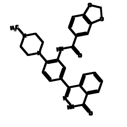 CN1CCN(c2ccc(-c3n[nH]c(=O)c4ccccc34)cc2NC(=O)c2ccc3c(c2)OCO3)CC1